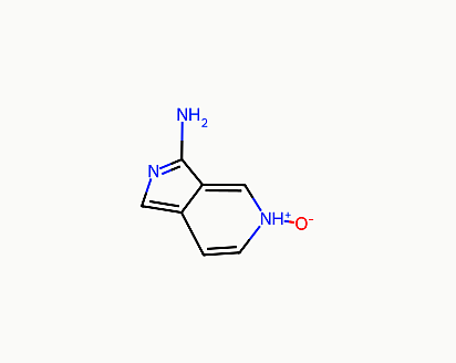 NC1=NC=C2C=C[NH+]([O-])C=C21